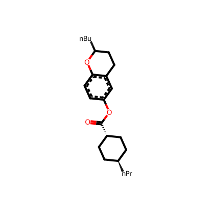 CCCCC1CCc2cc(OC(=O)[C@H]3CC[C@H](CCC)CC3)ccc2O1